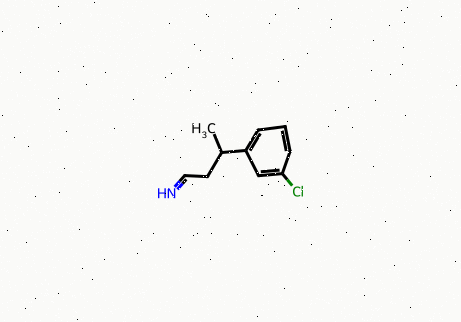 CC(CC=N)c1cccc(Cl)c1